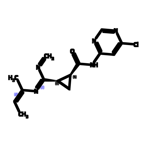 C=N/C(=N\C(C)=C/C)[C@H]1C[C@@H]1C(=O)Nc1cc(Cl)ncn1